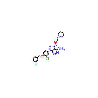 Nc1ncnc(Nc2ccc(OCc3cccc(F)c3)c(Cl)c2)c1C=NOCCN1CCCCC1